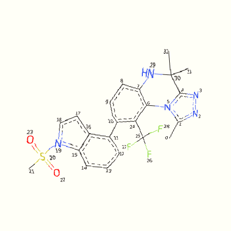 Cc1nnc2n1-c1c(ccc(-c3cccc4c3ccn4S(C)(=O)=O)c1C(F)(F)F)NC2(C)C